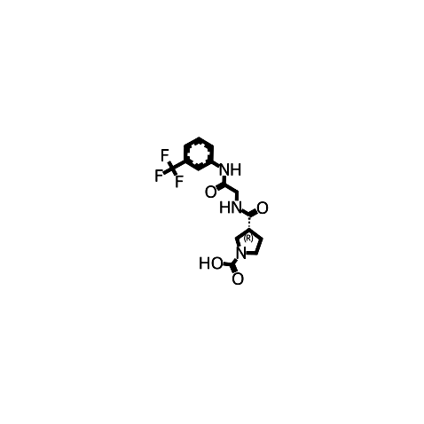 O=C(CNC(=O)[C@@H]1CCN(C(=O)O)C1)Nc1cccc(C(F)(F)F)c1